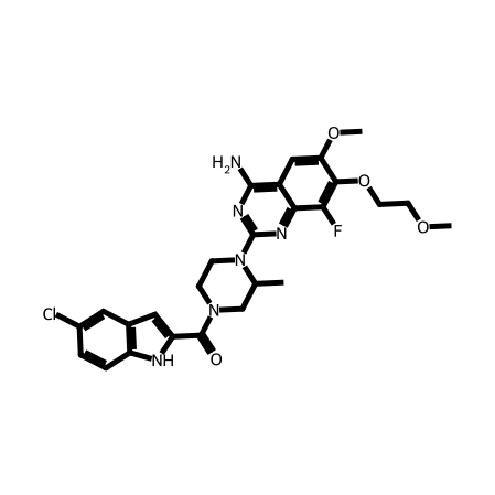 COCCOc1c(OC)cc2c(N)nc(N3CCN(C(=O)c4cc5cc(Cl)ccc5[nH]4)CC3C)nc2c1F